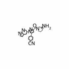 Cn1ccc2cc(-n3nc(C(=O)N4CCC[C@@H](N)C4)cc3-c3ccc(C#N)cc3)cnc21